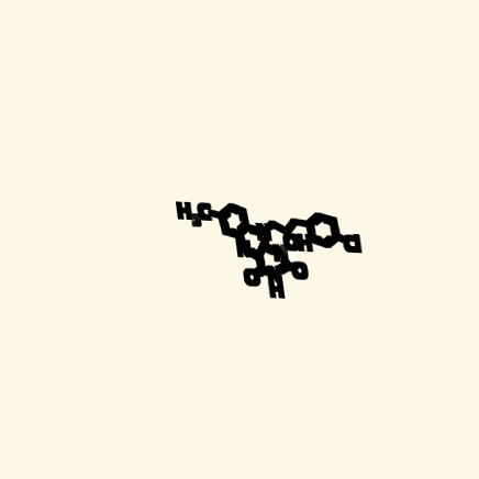 Cc1ccc2c(c1)nc1c(=O)[nH]c(=O)nc-1n2CC(O)Cc1ccc(Cl)cc1